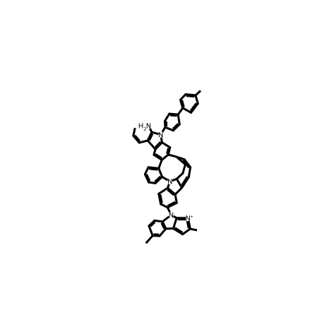 C/C=C\c1c(N)n(-c2ccc(-c3ccc(C)cc3)cc2)c2cc3c(cc12)-c1ccccc1N1c2ccc(-n4c5c(c6cc(C)ccc64)=CC(C)=[N+]=5)cc2/C2=C/C=C\C3CCC21